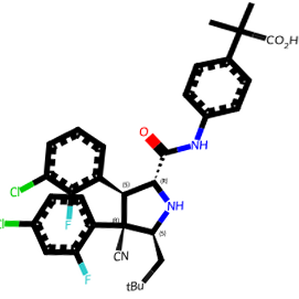 CC(C)(C)C[C@@H]1N[C@@H](C(=O)Nc2ccc(C(C)(C)C(=O)O)cc2)[C@H](c2cccc(Cl)c2F)[C@@]1(C#N)c1ccc(Cl)cc1F